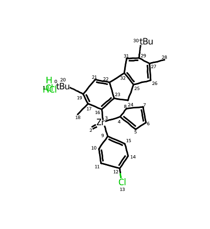 Cl.Cl.[CH2]=[Zr]([C]1=CC=CC1)([c]1ccc(Cl)cc1)[c]1c(C)c(C(C)(C)C)cc2c1Cc1cc(C)c(C(C)(C)C)cc1-2